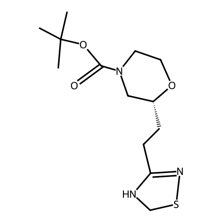 CC(C)(C)OC(=O)N1CCO[C@H](CCC2=NSCN2)C1